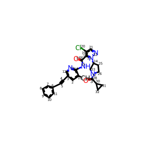 Cc1cc(C#Cc2ccccc2)cnc1NC(=O)c1c(Cl)cnn1C1CCN(C(=O)C2CC2)C1